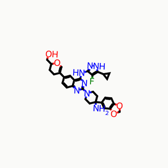 NC1(c2ccc3c(c2)OCO3)CCN(c2nc(Nc3n[nH]c(C4CC4)c3F)c3cc(C4=COC(CO)CC4)ccc3n2)CC1